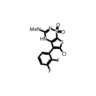 CNC1=NS(=O)(=O)c2sc(Cl)c(-c3cccc(F)c3F)c2N1